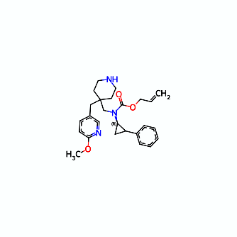 C=CCOC(=O)N(CC1(Cc2ccc(OC)nc2)CCNCC1)[C@@H]1CC1c1ccccc1